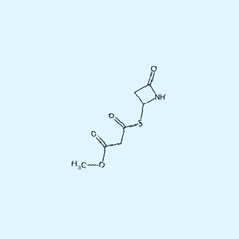 COC(=O)CC(=O)SC1CC(=O)N1